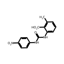 Cc1cccc(NC(=O)Nc2ccc([N+](=O)[O-])cc2)c1C(=O)O